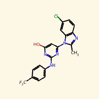 Cc1nc2ccc(Cl)cc2n1-c1cc(O)nc(Nc2ccc(C(F)(F)F)cc2)n1